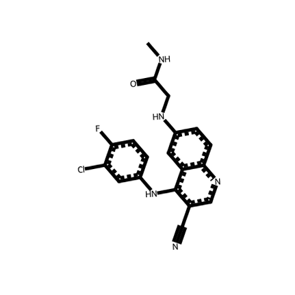 CNC(=O)CNc1ccc2ncc(C#N)c(Nc3ccc(F)c(Cl)c3)c2c1